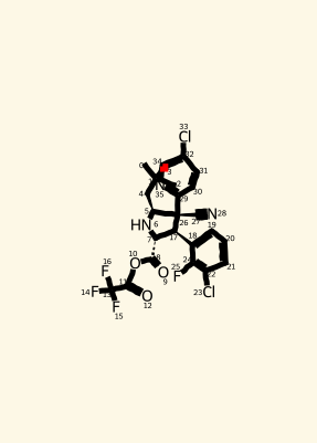 CC(C)(C)C[C@@H]1N[C@@H](C(=O)OC(=O)C(F)(F)F)[C@H](c2cccc(Cl)c2F)[C@@]1(C#N)c1ccc(Cl)cn1